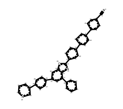 N#Cc1ccc(-c2ccc(-c3ccc(-c4nc5c(-c6ccccc6)cc(-c6ccc(-c7cccnc7)cc6)cc5o4)cc3)cc2)cc1